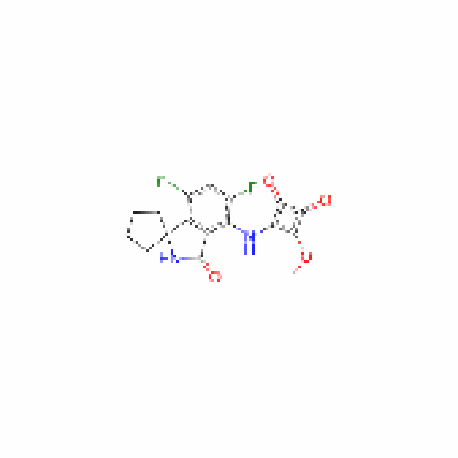 COc1c(Nc2c(F)cc(Cl)c3c2C(=O)NC32CCCC2)c(=O)c1=O